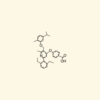 CCc1cccc(CC)c1-c1cc(Oc2ccc(C(=O)O)cc2)c(COc2cc(C(C)C)ccc2C)c(C)n1